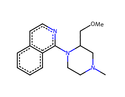 COCC1CN(C)CCN1c1nccc2ccccc12